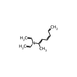 C=C/C=C\C=C(/C)N(C=C)C=C